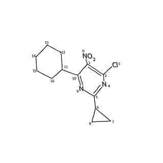 O=[N+]([O-])c1c(Cl)nc(C2CC2)nc1C1CCCCC1